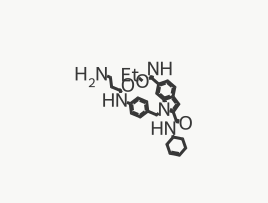 CCOC(=N)c1ccc2cc(C(=O)NC3CC=CCC3)n(Cc3ccc(NC(=O)CCN)cc3)c2c1